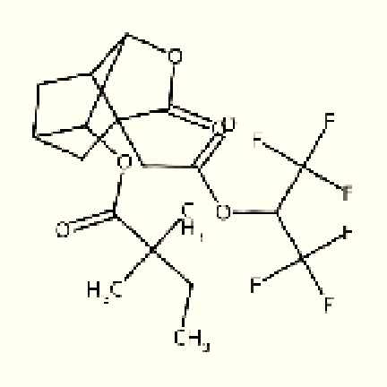 CCC(C)(C)C(=O)OC1C2CC3C1OC(=O)C3(CC(=O)OC(C(F)(F)F)C(F)(F)F)C2